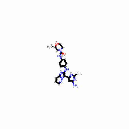 Cc1nc(N)cc(-c2c(Nc3ccc(NC(=O)N4CCO[C@H](C)C4)cc3)nc3cccnn23)n1